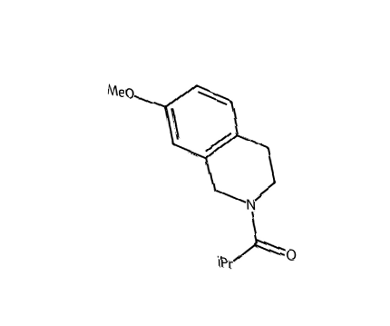 COc1ccc2c(c1)CN(C(=O)C(C)C)CC2